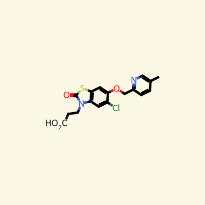 Cc1ccc(COc2cc3sc(=O)n(CCC(=O)O)c3cc2Cl)nc1